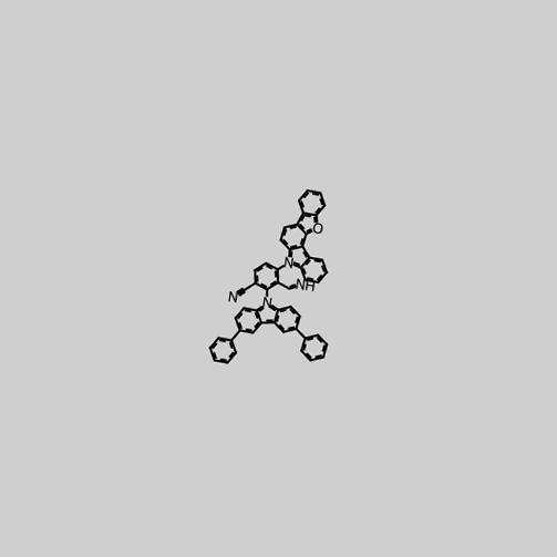 N#Cc1ccc(-n2c3ccccc3c3c4oc5ccccc5c4ccc32)c(C=N)c1-n1c2ccc(-c3ccccc3)cc2c2cc(-c3ccccc3)ccc21